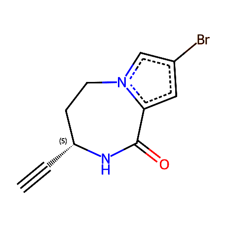 C#C[C@@H]1CCn2cc(Br)cc2C(=O)N1